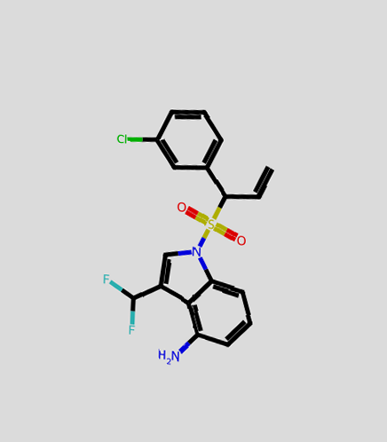 C=CC(c1cccc(Cl)c1)S(=O)(=O)n1cc(C(F)F)c2c(N)cccc21